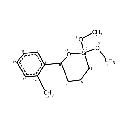 CO[Si]1(OC)CCCC(c2ccccc2C)O1